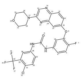 O=C(Nc1ccc(F)c(Oc2ccc3ncc(N4CCOCC4)nc3c2)c1)Nc1ccc(Cl)c(C(F)(F)F)c1